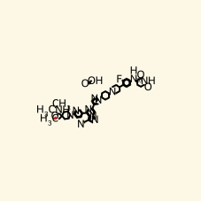 CCC1(C(=O)NC(C)C)CCN(c2ccc(-c3nc(-c4cnn(C5CCC(N6CCC(c7ccc(N[C@H]8CCC(=O)NC8=O)cc7F)CC6)CC5)c4)cn4ncc(C#N)c34)cn2)CC1.O=CO